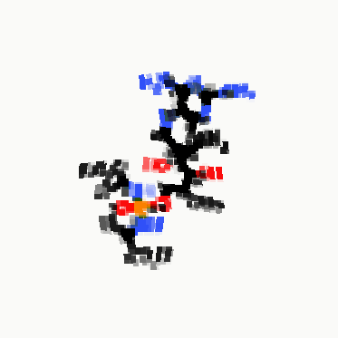 CCOC(=O)C(CC)NP(=O)(N[C@@H](CC)C(=O)OCC)OCC(OC)C(O)[C@]1(O)C(C)C1/C=N\c1c(N)nc(N)nc1OC